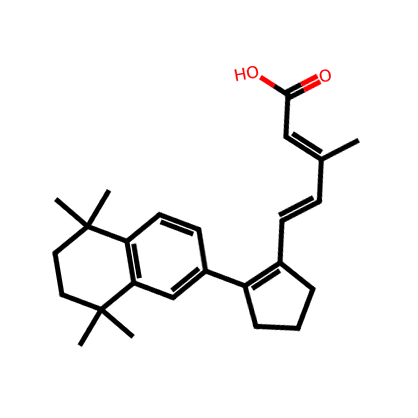 CC(C=CC1=C(c2ccc3c(c2)C(C)(C)CCC3(C)C)CCC1)=CC(=O)O